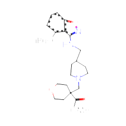 COC(=O)C1(CN2CCC(CNc3noc4cccc(OCC(C)C)c34)CC2)CCOCC1